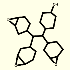 OC1CCC(C(C2CCC3OC3C2)C(C2CCC3OC3C2)C2CCC3OC3C2)CC1